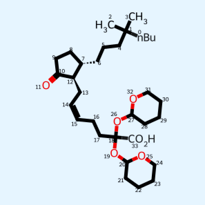 CCCCC(C)(C)CCC[C@H]1CCC(=O)[C@@H]1C/C=C\CCC(OC1CCCCO1)(OC1CCCCO1)C(=O)O